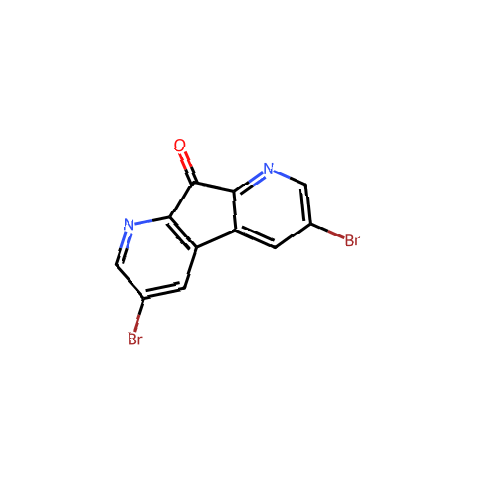 O=C1c2ncc(Br)cc2-c2cc(Br)cnc21